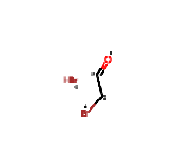 Br.O=CCBr